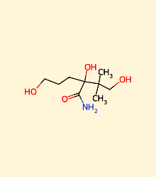 CC(C)(CO)C(O)(CCCO)C(N)=O